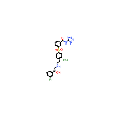 Cl.O=C(Nc1nnn[nH]1)c1cccc(S(=O)(=O)c2ccc(CCNC[C@H](O)c3cccc(Cl)c3)cc2)c1